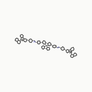 C(=C\c1ccc(-c2ccc3c(c2)c2ccccc2n3-c2cccc3ccccc23)cc1)/c1ccc(-c2ccc3c(c2)C2(c4ccccc4-c4ccccc42)c2cc(-c4ccc(/C=C/c5ccc(-c6ccc7c(c6)c6ccccc6n7-c6cccc7ccccc67)cc5)cc4)ccc2-3)cc1